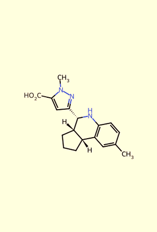 Cc1ccc2c(c1)[C@@H]1CCC[C@@H]1[C@H](c1cc(C(=O)O)n(C)n1)N2